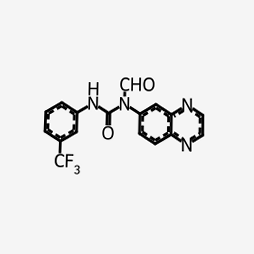 O=CN(C(=O)Nc1cccc(C(F)(F)F)c1)c1ccc2nccnc2c1